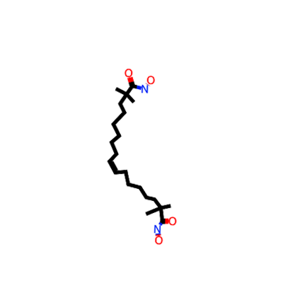 CC(C)(CCCCC/C=C\CCCCCCC(C)(C)C(=O)N=O)C(=O)N=O